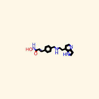 O=C(/C=C/c1ccc(CNCCc2ccnc3cc[nH]c23)cc1)NO